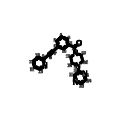 O=C(c1cccc(C#Cc2ccccn2)c1)N1CCN(c2cnccn2)CC1